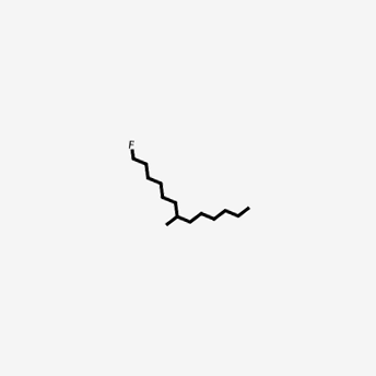 CCCCCCC(C)CCCCCCF